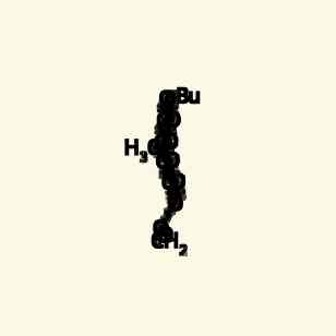 C=CC(=O)OCCCCCCOc1ccc(C(=O)Oc2ccc(C(=O)Oc3ccc(OC(=O)c4ccc(OC(=O)c5ccc(OCCCC)cc5)cc4)c(C)c3)cc2)cc1